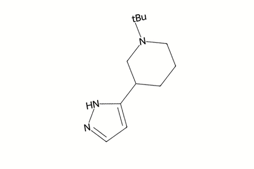 CC(C)(C)N1CCCC(c2ccn[nH]2)C1